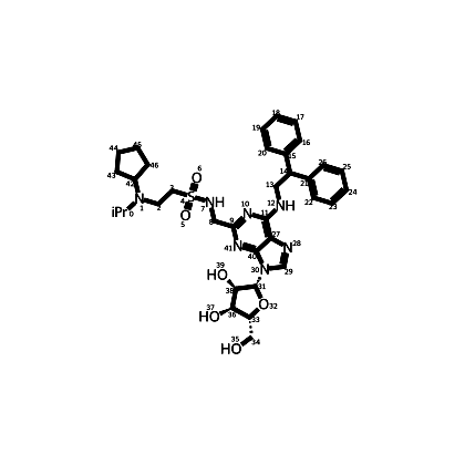 CC(C)N(CCS(=O)(=O)NCc1nc(NCC(c2ccccc2)c2ccccc2)c2ncn([C@@H]3O[C@H](CO)[C@@H](O)[C@H]3O)c2n1)C1CCCC1